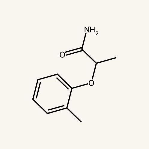 Cc1ccccc1OC(C)C(N)=O